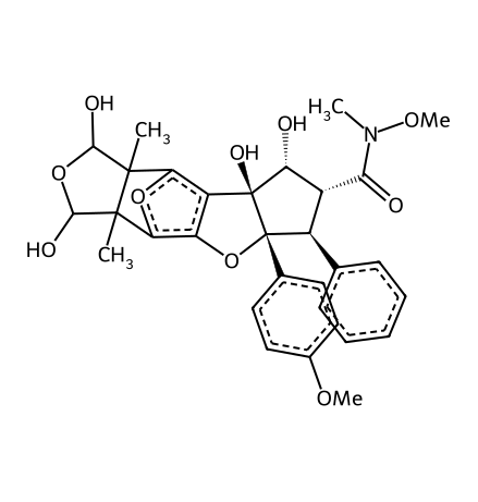 COc1ccc([C@@]23Oc4c5oc(c4[C@]2(O)[C@H](O)[C@H](C(=O)N(C)OC)[C@H]3c2ccccc2)C2(C)C(O)OC(O)C52C)cc1